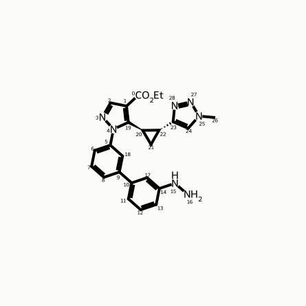 CCOC(=O)c1cnn(-c2cccc(-c3cccc(NN)c3)c2)c1[C@@H]1C[C@H]1c1cn(C)nn1